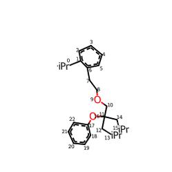 C[C](C)c1ccccc1CCOCC(CC(C)C)(CC(C)C)Oc1ccccc1